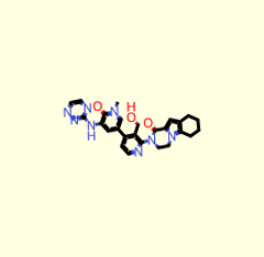 Cn1cc(-c2ccnc(N3CCn4c(cc5c4CCCC5)C3=O)c2CO)cc(Nc2nccnn2)c1=O